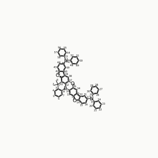 CC1(C)c2ccccc2B2c3cc4oc5ccc(N(c6ccccc6)c6ccccc6)cc5c4cc3Oc3cc4c(oc5ccc(N(c6ccccc6)c6ccccc6)cc54)c1c32